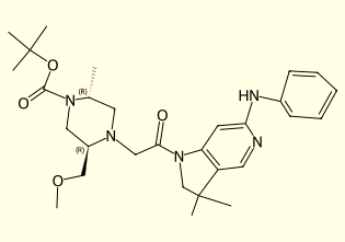 COC[C@H]1CN(C(=O)OC(C)(C)C)[C@H](C)CN1CC(=O)N1CC(C)(C)c2cnc(Nc3ccccc3)cc21